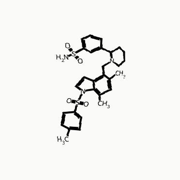 Cc1ccc(S(=O)(=O)n2ccc3c(CN4CCCCC4c4cccc(S(N)(=O)=O)c4)c(C)cc(C)c32)cc1